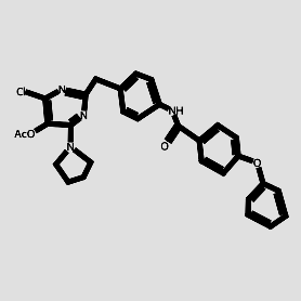 CC(=O)Oc1c(Cl)nc(Cc2ccc(NC(=O)c3ccc(Oc4ccccc4)cc3)cc2)nc1N1CCCC1